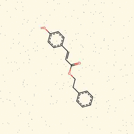 O=C(C=Cc1ccc(O)cc1)OCCc1ccccc1